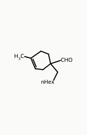 CCCCCCCC1(C=O)CC=C(C)CC1